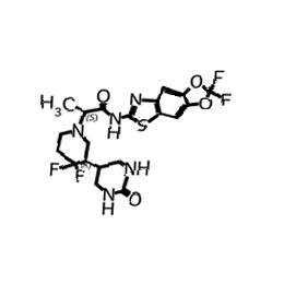 C[C@@H](C(=O)Nc1nc2cc3c(cc2s1)OC(F)(F)O3)N1CCC(F)(F)[C@H](C2CNC(=O)NC2)C1